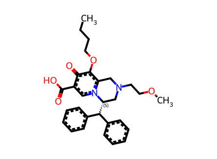 CCCCOc1c2n(cc(C(=O)O)c1=O)[C@@H](C(c1ccccc1)c1ccccc1)CN(CCOC)C2